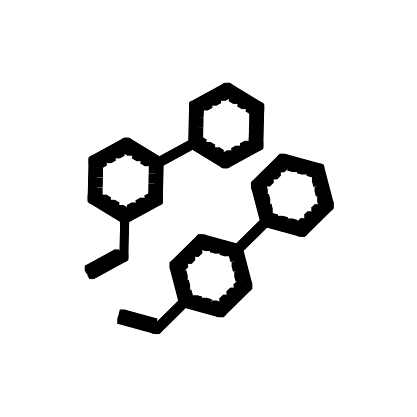 C=Cc1ccc(-c2ccccc2)cc1.C=Cc1cccc(-c2ccccc2)c1